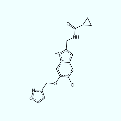 O=C(NCc1cc2cc(Cl)c(OCc3ccon3)cc2[nH]1)C1CC1